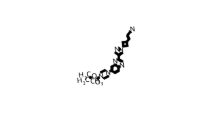 CC(C)(C)OC(=O)N1CCN(c2ccc3ncc(-c4cnn(C5CC(/C=C/C#N)C5)c4)nc3c2)CC1